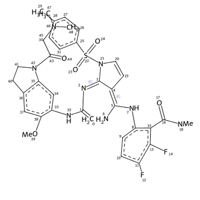 C=C(/N=C1\C(=C(/N)Nc2ccc(F)c(F)c2C(=O)NC)C=CN1S(=O)(=O)c1ccc(C)cc1)Nc1cc2c(cc1OC)CCN2C(=O)CN(C)C